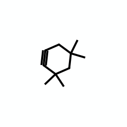 CC1(C)C#CCC(C)(C)C1